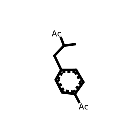 CC(=O)c1ccc(CC(C)C(C)=O)cc1